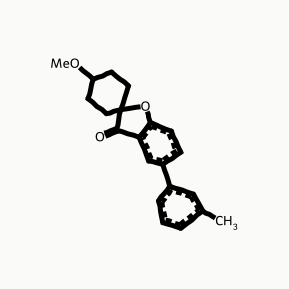 COC1CCC2(CC1)Oc1ccc(-c3cccc(C)c3)cc1C2=O